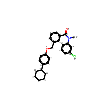 CC(C)N(C(=O)c1cccc(COc2ccc(C3[CH]CCCC3)cc2)c1)c1cccc(Cl)c1